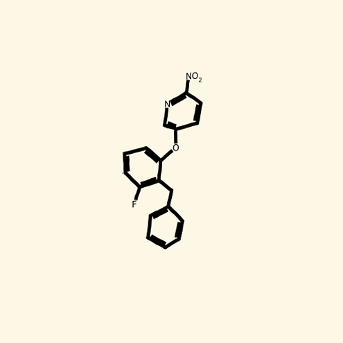 O=[N+]([O-])c1ccc(Oc2cc[c]c(F)c2Cc2ccccc2)cn1